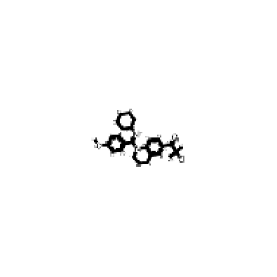 COc1ccc(C(=NC2CCCCC2)N2CCCc3cc(C(=O)C(C)(C)Cl)ccc32)cc1